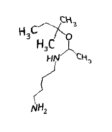 CCC(C)(C)OC(C)NCCCCN